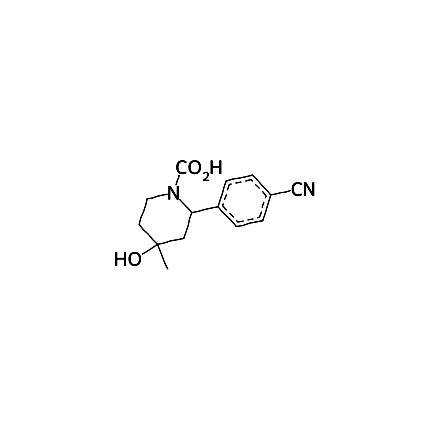 CC1(O)CCN(C(=O)O)C(c2ccc(C#N)cc2)C1